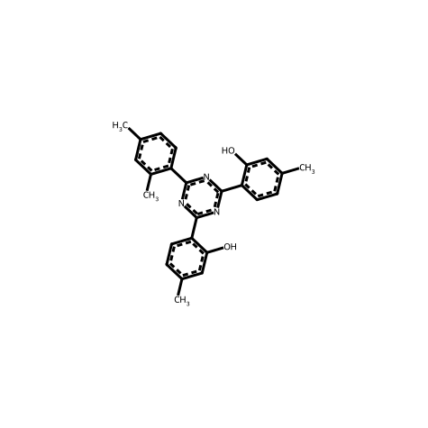 Cc1ccc(-c2nc(-c3ccc(C)cc3O)nc(-c3ccc(C)cc3O)n2)c(C)c1